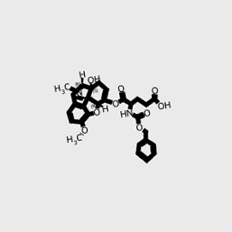 COc1ccc2c3c1O[C@H]1C(OC(=O)C(CCC(=O)O)NC(=O)OCc4ccccc4)=CC[C@@]4(O)[C@@H](C2)N(C)CC[C@]314